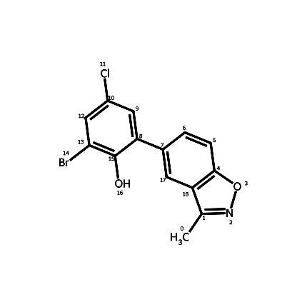 Cc1noc2ccc(-c3cc(Cl)cc(Br)c3O)cc12